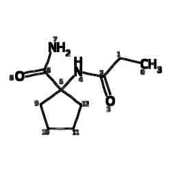 CCC(=O)NC1(C(N)=O)CCCC1